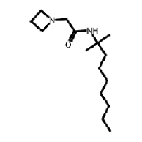 CCCCCCCC(C)(C)NC(=O)CN1CCC1